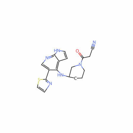 N#CCC(=O)N1CCCC(Nc2c(-c3nccs3)cnc3[nH]ccc23)C1